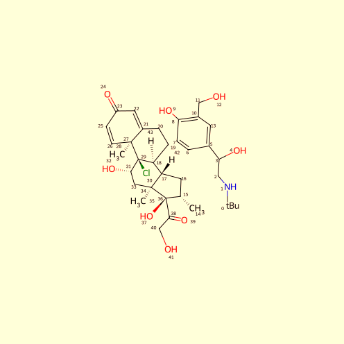 CC(C)(C)NCC(O)c1ccc(O)c(CO)c1.C[C@H]1C[C@H]2[C@@H]3CCC4=CC(=O)C=C[C@]4(C)[C@@]3(Cl)[C@@H](O)C[C@]2(C)[C@@]1(O)C(=O)CO